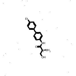 CCc1ccc(-c2ccc(NC(=O)[C@@H](N)CO)cc2)cc1